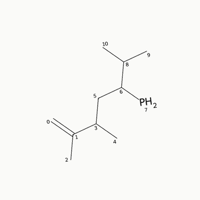 C=C(C)C(C)CC(P)C(C)C